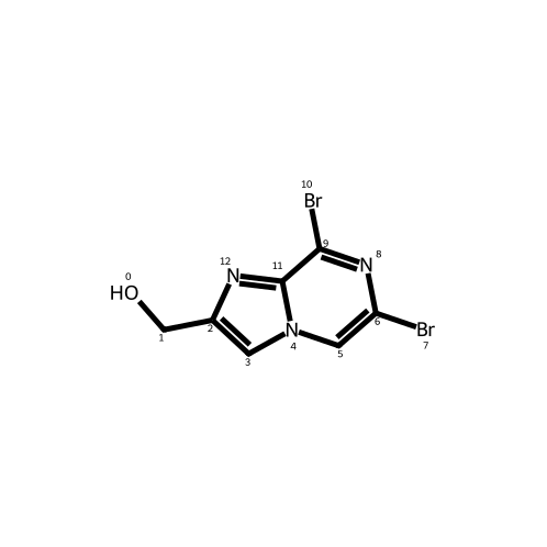 OCc1cn2cc(Br)nc(Br)c2n1